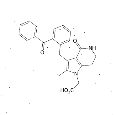 Cc1c(Cc2ccccc2C(=O)c2ccccc2)c2c(n1CC(=O)O)CCNC2=O